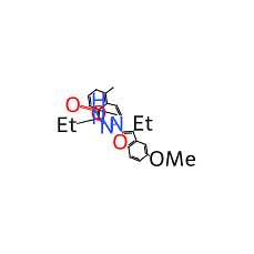 CCc1c(N2C=CC3=C(C)CC=CC34OC(=O)C(CC)NC4=N2)oc2ccc(OC)cc12